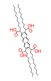 CCCCCCCCCCC(C(=O)O)c1cc2cc3cc(C(CCCCCCCCCC)C(=O)O)c(C(CCCCCCCCCC)C(=O)O)cc3cc2cc1C(CCCCCCCCCC)C(=O)O